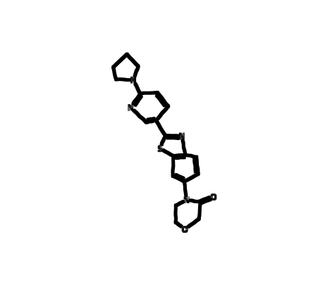 O=C1COCCN1c1ccc2nc(-c3ccc(N4CCCC4)nc3)sc2c1